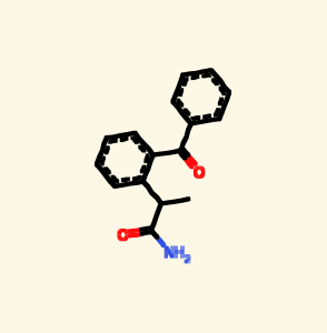 CC(C(N)=O)c1ccccc1C(=O)c1ccccc1